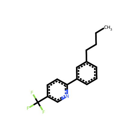 CCCCc1cccc(-c2ccc(C(F)(F)F)cn2)c1